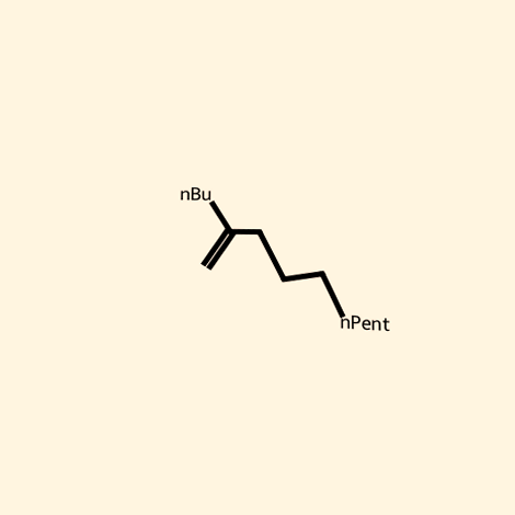 [CH2]CCCC(=C)CCCCCCCC